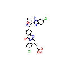 C[C@]1(c2nc3ccc(Cl)cc3[nH]2)CC(c2ccc3c(=O)n(-c4ccc(Cl)cc4)c(CCCCC(=O)O)nc3c2)=NO1